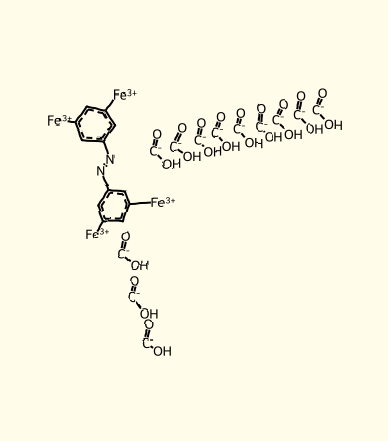 O=[C-]O.O=[C-]O.O=[C-]O.O=[C-]O.O=[C-]O.O=[C-]O.O=[C-]O.O=[C-]O.O=[C-]O.O=[C-]O.O=[C-]O.O=[C-]O.[Fe+3][c]1c[c]([Fe+3])cc(N=Nc2c[c]([Fe+3])c[c]([Fe+3])c2)c1